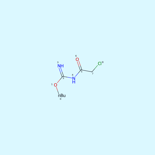 CCCCOC(=N)NC(=O)CCl